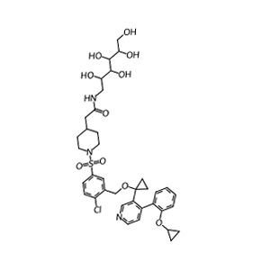 O=C(CC1CCN(S(=O)(=O)c2ccc(Cl)c(COC3(c4cnccc4-c4ccccc4OC4CC4)CC3)c2)CC1)NCC(O)C(O)C(O)C(O)CO